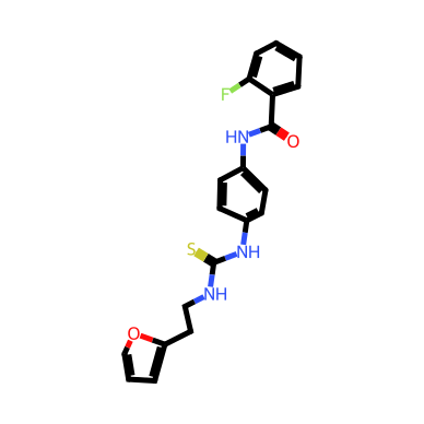 O=C(Nc1ccc(NC(=S)NCCc2ccco2)cc1)c1ccccc1F